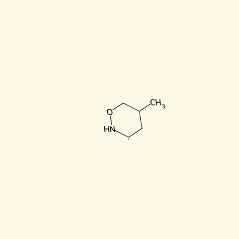 CC1C[CH]NOC1